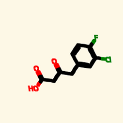 O=C(O)CC(=O)Cc1ccc(F)c(Cl)c1